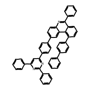 c1ccc(-c2ccc(-c3cccc4c(-c5ccccc5)nc5ccc(-c6ccc(-c7cc(-c8ccccc8)nc(-c8ccccc8)n7)cc6)cc5c34)cc2)cc1